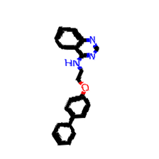 c1ccc(-c2ccc(OCCNc3ncnc4ccccc34)cc2)cc1